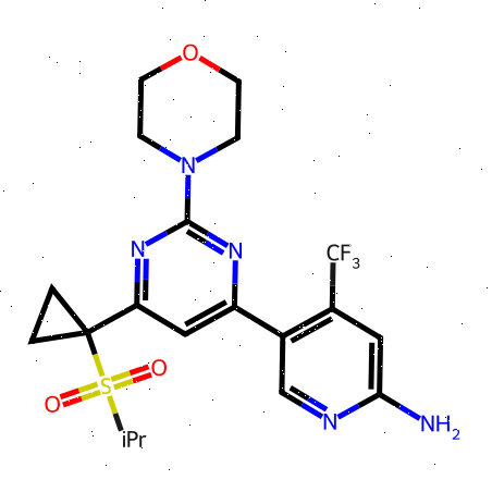 CC(C)S(=O)(=O)C1(c2cc(-c3cnc(N)cc3C(F)(F)F)nc(N3CCOCC3)n2)CC1